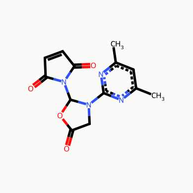 Cc1cc(C)nc(N2CC(=O)OC2N2C(=O)C=CC2=O)n1